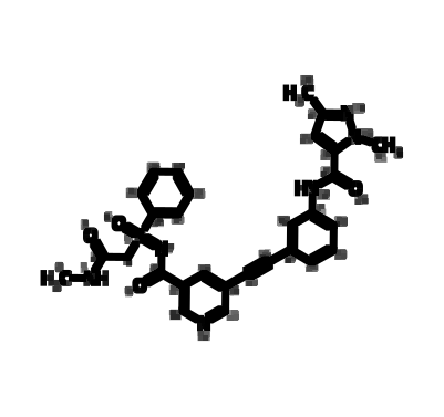 CNC(=O)CS(=O)(=NC(=O)c1cncc(C#Cc2cccc(NC(=O)c3cc(C)nn3C)c2)c1)c1ccccc1